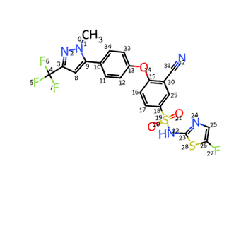 Cn1nc(C(F)(F)F)cc1-c1ccc(Oc2ccc(S(=O)(=O)Nc3ncc(F)s3)cc2C#N)cc1